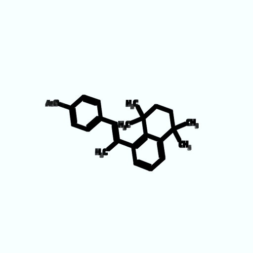 CC(=O)Oc1ccc(C=C(C)c2cccc3c2C(C)(C)CCC3(C)C)cc1